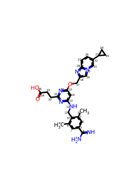 Cc1cc(C(=N)N)cc(C)c1CNc1cc(OCc2cn3cc(C4CC4)ccc3n2)nc(CCC(=O)O)n1